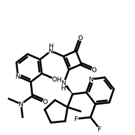 CN(C)C(=O)c1nccc(Nc2c(N[C@@H](c3ncccc3C(F)F)C3(C)CCCC3)c(=O)c2=O)c1O